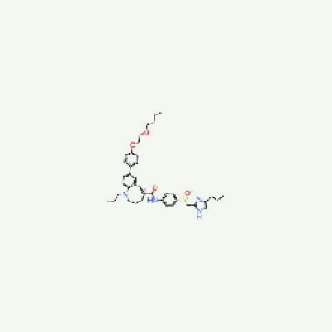 CCCCOCCOc1ccc(-c2ccc3c(c2)/C=C(/C(=O)Nc2ccc([S+]([O-])Cc4nc(CCC)c[nH]4)cc2)CCCN3CCC)cc1